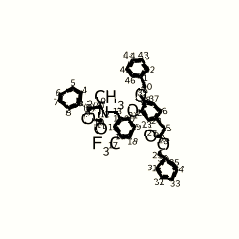 C[C@H]1[C@@H](c2ccccc2)OC(=O)N1Cc1cc(C(F)(F)F)ccc1Oc1cc(CC(=O)OCc2ccccc2)ccc1OCc1ccccc1